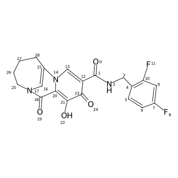 O=C(NCc1ccc(F)cc1F)c1cn2c3cn(c(=O)c2c(O)c1=O)CCCC3